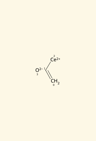 C=[CH][Ce+2].[O-2]